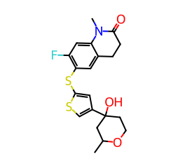 CC1CC(O)(c2csc(Sc3cc4c(cc3F)N(C)C(=O)CC4)c2)CCO1